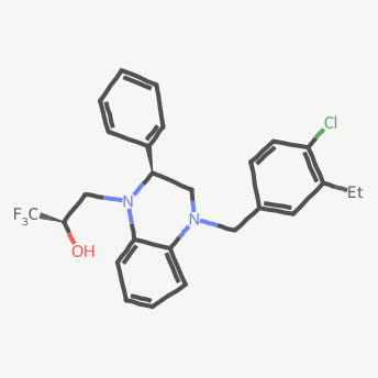 CCc1cc(CN2C[C@H](c3ccccc3)N(C[C@@H](O)C(F)(F)F)c3ccccc32)ccc1Cl